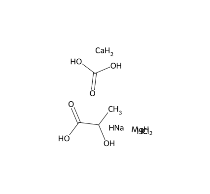 CC(O)C(=O)O.Cl.O=C(O)O.[CaH2].[MgH2].[NaH]